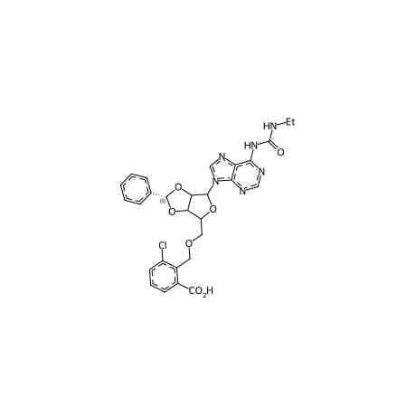 CCNC(=O)Nc1ncnc2c1ncn2C1OC(COCc2c(Cl)cccc2C(=O)O)C2O[C@H](c3ccccc3)OC21